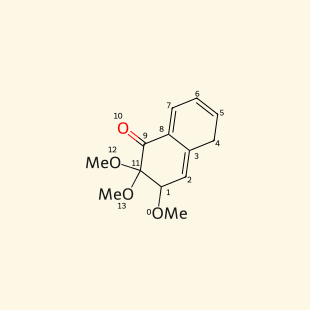 COC1C=C2CC=CC=C2C(=O)C1(OC)OC